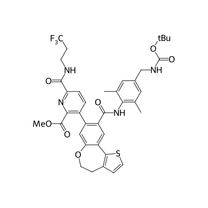 COC(=O)c1nc(C(=O)NCCC(F)(F)F)ccc1-c1cc2c(cc1C(=O)Nc1c(C)cc(CNC(=O)OC(C)(C)C)cc1C)-c1sccc1CCO2